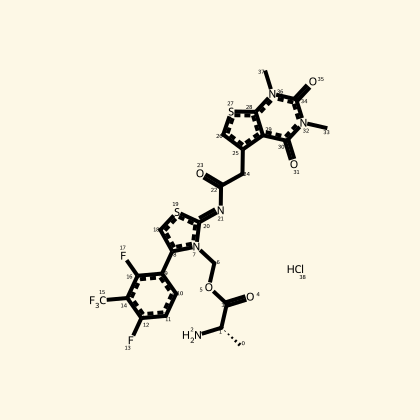 C[C@H](N)C(=O)OCn1c(-c2ccc(F)c(C(F)(F)F)c2F)cs/c1=N\C(=O)Cc1csc2c1c(=O)n(C)c(=O)n2C.Cl